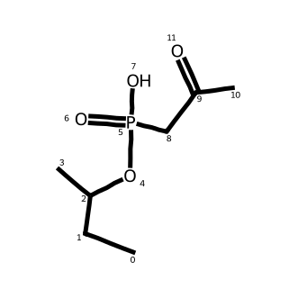 CCC(C)OP(=O)(O)CC(C)=O